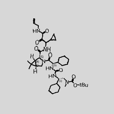 C=CCNC(=O)C(=O)C(NC(=O)[C@@H]1[C@@H]2[C@H](CN1C(=O)[C@@H](NC(=O)N[C@H](CN(C)C(=O)OC(C)(C)C)C1CCCCC1)C1CCCCC1)C2(C)C)C1CC1